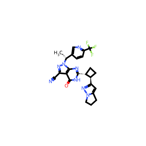 C[C@H](c1ccc(C(F)(F)F)nc1)n1nc(C#N)c2c(=O)[nH]c([C@@H]3CC[C@H]3c3cc4n(n3)CCC4)nc21